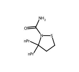 CCCC1(CCC)CCSN1C(N)=O